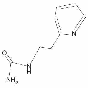 NC(=O)NCCc1ccccn1